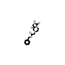 O=C(CN1CCN2C(=O)NC[C@@H]2C1)OCc1ccccc1